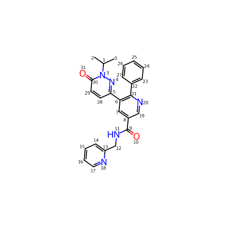 CC(C)n1nc(-c2cc(C(=O)NCc3ccccn3)cnc2-c2ccccc2)ccc1=O